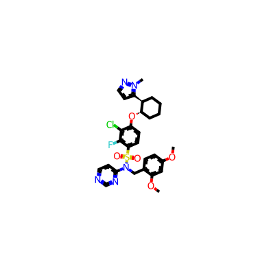 COc1ccc(CN(c2ccncn2)S(=O)(=O)c2ccc(O[C@H]3CCCC[C@@H]3c3ccnn3C)c(Cl)c2F)c(OC)c1